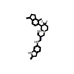 C=C1Cc2ccc(N/C=C(\C=N)CN3CCC(F)(F)C(c4ccc5c(c4C)CCC5=C)C3)cc2N1